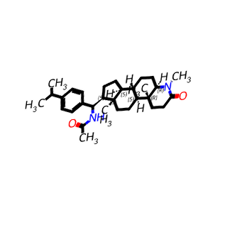 CC(=O)NC(c1ccc(C(C)C)cc1)[C@H]1CC[C@H]2[C@@H]3CC[C@H]4N(C)C(=O)CC[C@]4(C)[C@H]3CC[C@]12C